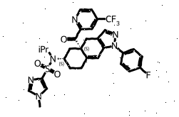 CC(C)N([C@H]1CCC2=Cc3c(cnn3-c3ccc(F)cc3)C[C@]2(C(=O)c2cc(C(F)(F)F)ccn2)C1)S(=O)(=O)c1cn(C)cn1